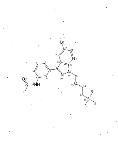 CC(=O)Nc1cccc(-c2nn(COCC[Si](C)(C)C)c3ncc(Br)cc23)c1